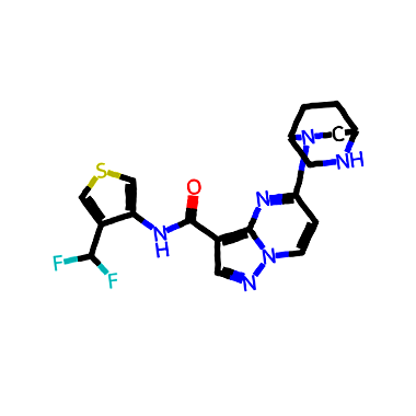 O=C(Nc1cscc1C(F)F)c1cnn2ccc(N3CC4CCC3CN4)nc12